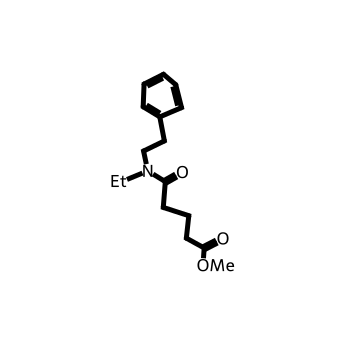 CCN(CCc1ccccc1)C(=O)CCCC(=O)OC